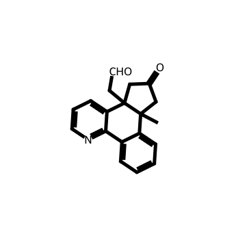 CC12CC(=O)CC1(CC=O)c1cccnc1-c1ccccc12